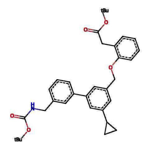 CC(C)(C)OC(=O)Cc1ccccc1OCc1cc(-c2cccc(CNC(=O)OC(C)(C)C)c2)cc(C2CC2)c1